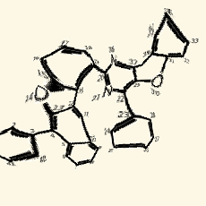 c1ccc(-c2c3ccccc3cc3c2oc2cccc(-c4nc(-c5ccccc5)c5oc6ccccc6c5n4)c23)cc1